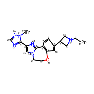 C[C](C)CN1CC(c2ccc3c(c2)OCCn2cc(-c4ncnn4C(C)C)nc2-3)C1